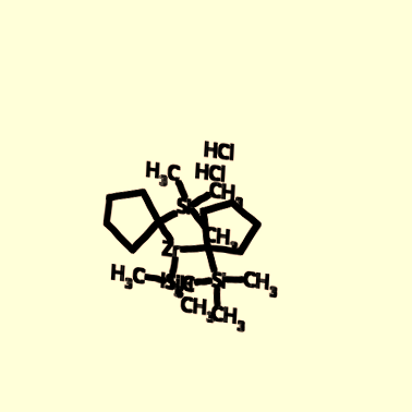 C[SiH](C)[Zr]([C]1([Si](C)(C)C)CCCC1)[C]1([Si](C)(C)C)CCCC1.Cl.Cl